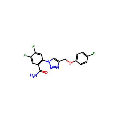 NC(=O)c1cc(F)c(F)cc1-n1cc(COc2ccc(F)cc2)nn1